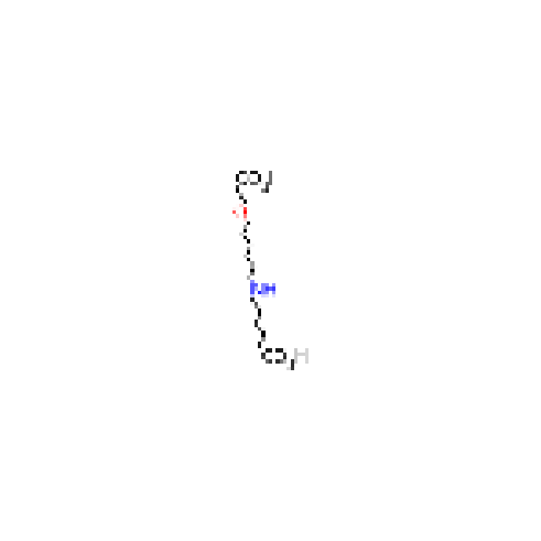 O=C(O)CCCCCNCCCCCCOCCC(=O)O